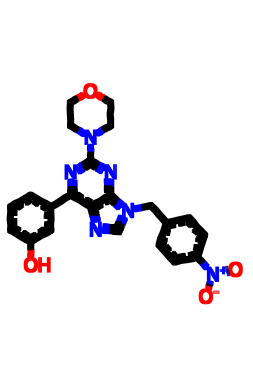 O=[N+]([O-])c1ccc(Cn2cnc3c(-c4cccc(O)c4)nc(N4CCOCC4)nc32)cc1